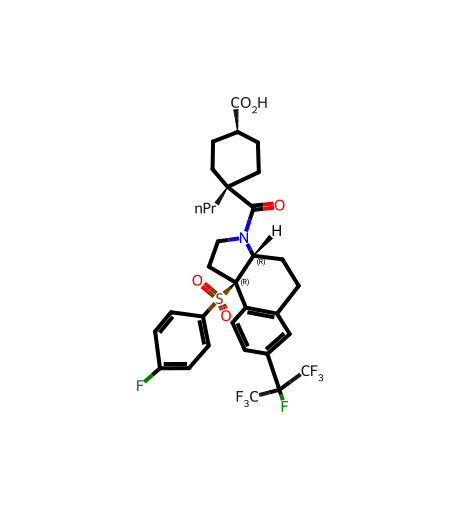 CCC[C@]1(C(=O)N2CC[C@@]3(S(=O)(=O)c4ccc(F)cc4)c4ccc(C(F)(C(F)(F)F)C(F)(F)F)cc4CC[C@@H]23)CC[C@H](C(=O)O)CC1